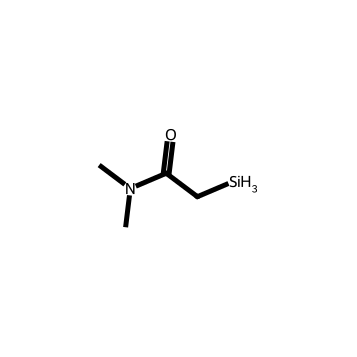 CN(C)C(=O)C[SiH3]